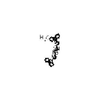 CC1C=Cc2c(c3c(n2C2=CCC(c4nc5sc(-c6ccc(-n7c8c(c9c7CCC=C9)C=CCC8)s6)nc5s4)S2)CCC=C3)C1